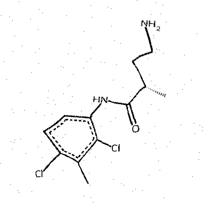 Cc1c(Cl)ccc(NC(=O)[C@@H](C)CCN)c1Cl